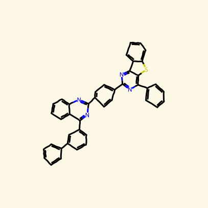 c1ccc(-c2cccc(-c3nc(-c4ccc(-c5nc(-c6ccccc6)c6sc7ccccc7c6n5)cc4)nc4ccccc34)c2)cc1